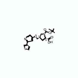 CC(C)(C)OC(=O)N1C[C@H](COc2ccnc(-c3ccsc3)c2)C[C@H]1C(=O)O